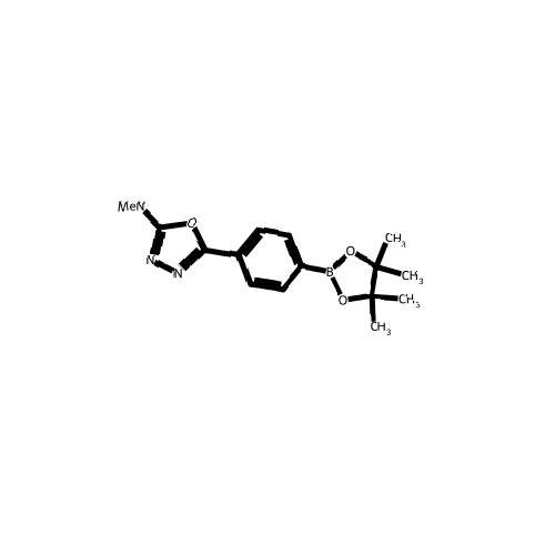 CNc1nnc(-c2ccc(B3OC(C)(C)C(C)(C)O3)cc2)o1